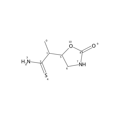 CC(C(N)=S)C1CNC(=O)O1